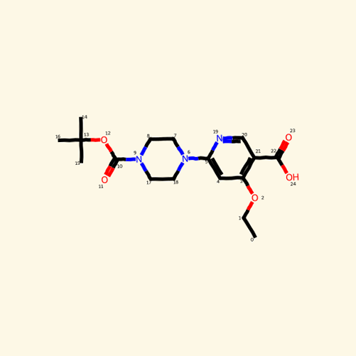 CCOc1cc(N2CCN(C(=O)OC(C)(C)C)CC2)ncc1C(=O)O